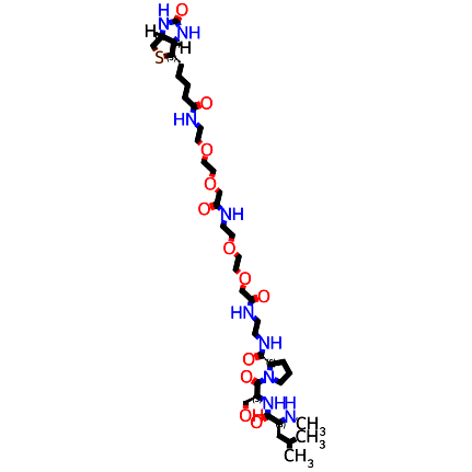 CN[C@@H](CC(C)C)C(=O)N[C@@H](CO)C(=O)N1CCC[C@H]1C(=O)NCCNC(=O)COCCOCCNC(=O)COCCOCCNC(=O)CCCC[C@@H]1SC[C@@H]2NC(=O)N[C@@H]21